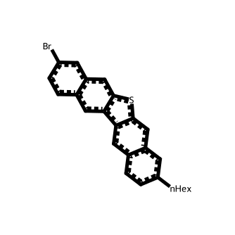 CCCCCCc1ccc2cc3c(cc2c1)sc1cc2cc(Br)ccc2cc13